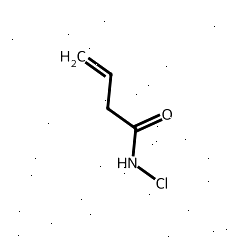 C=CCC(=O)NCl